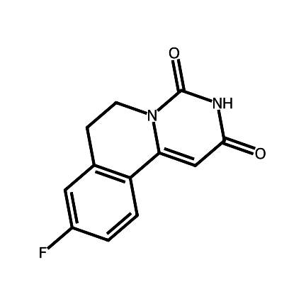 O=c1cc2n(c(=O)[nH]1)CCc1cc(F)ccc1-2